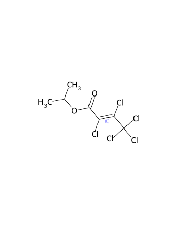 CC(C)OC(=O)/C(Cl)=C(\Cl)C(Cl)(Cl)Cl